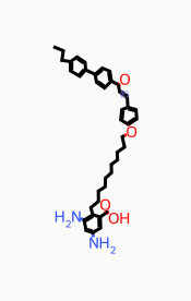 CCCc1ccc(-c2ccc(C(=O)/C=C/c3ccc(OCCCCCCCCCCCc4c(N)cc(N)cc4C(=O)O)cc3)cc2)cc1